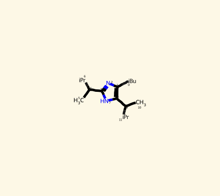 CCC(C)c1nc(C(C)C(C)C)[nH]c1C(C)C(C)C